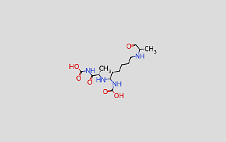 CC(C=O)NCCCCCC(NC(=O)O)N[C@@H](C)C(=O)NC(=O)O